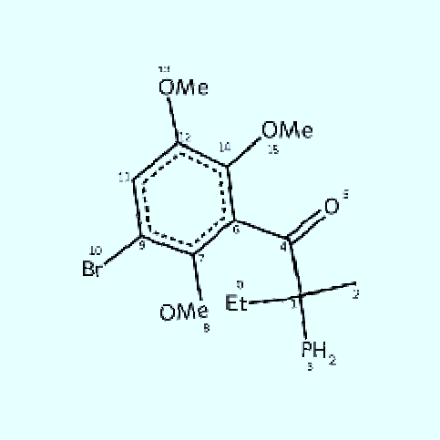 CCC(C)(P)C(=O)c1c(OC)c(Br)cc(OC)c1OC